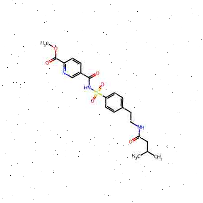 COC(=O)c1ccc(C(=O)NS(=O)(=O)c2ccc(CCNC(=O)CC(C)C)cc2)cn1